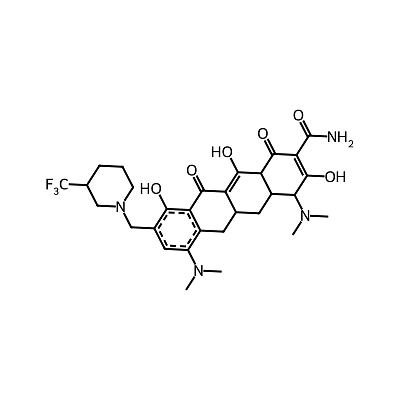 CN(C)c1cc(CN2CCCC(C(F)(F)F)C2)c(O)c2c1CC1CC3C(C(=O)C(C(N)=O)=C(O)C3N(C)C)C(O)=C1C2=O